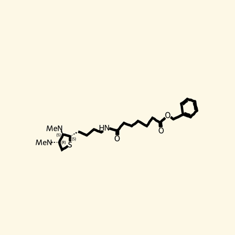 CN[C@H]1[C@@H](NC)CS[C@H]1CCCCNC(=O)CCCCCC(=O)OCc1ccccc1